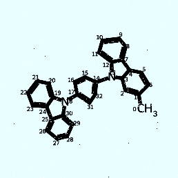 CC1=CC2C(C=C1)c1ccccc1N2c1ccc(-n2c3ccccc3c3ccccc32)cc1